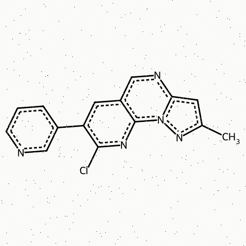 Cc1cc2ncc3cc(-c4cccnc4)c(Cl)nc3n2n1